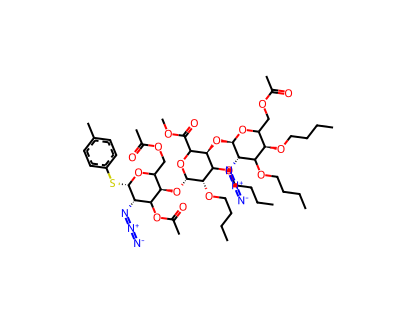 CCCCOC1[C@H](OCCCC)C(COC(C)=O)O[C@H](O[C@@H]2C(C(=O)OC)O[C@@H](O[C@@H]3C(COC(C)=O)O[C@@H](Sc4ccc(C)cc4)[C@@H](N=[N+]=[N-])C3OC(C)=O)[C@@H](OCCCC)C2OCCCC)[C@H]1N=[N+]=[N-]